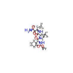 CC(C)OC(=O)N[C@H](C(=O)N1CC2C([C@H]1C(=O)NC(CC1CC1)C(=O)C(N)=O)C2(C)C)C1CCCCC1